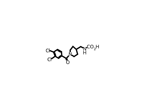 O=C(O)NCC1CCN(C(=O)c2ccc(Cl)c(Cl)c2)CC1